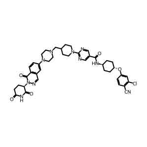 N#Cc1ccc(O[C@H]2CC[C@H](NC(=O)c3cnc(N4CCC(CN5CCN(c6ccc7c(=O)n([C@@H]8CCC(=O)NC8=O)ncc7c6)CC5)CC4)nc3)CC2)cc1Cl